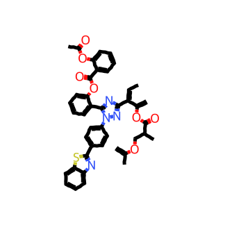 C=C(C)OCC(C)C(=O)OC(=C)/C(=C\C)c1nc(-c2ccccc2OC(=O)c2ccccc2OC(C)=O)n(-c2ccc(-c3nc4ccccc4s3)cc2)n1